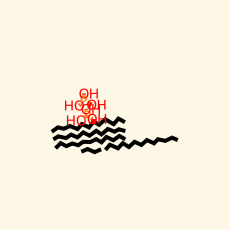 CCCC.CCCCCCCCCCCCC.CCCCCCCCCCCCC.CCCCCCCCCCCCC.CCCCCCCCCCCCC.OP(O)O.OP(O)O